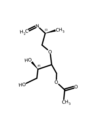 C=N[C@@H](C)COC(COC(C)=O)[C@H](O)CO